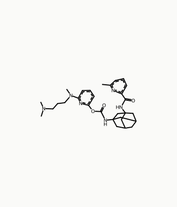 Cc1cccc(C(=O)NC23CC4CC(CC(NC(=O)Oc5cccc(N(C)CCCN(C)C)n5)(C4)C2)C3)n1